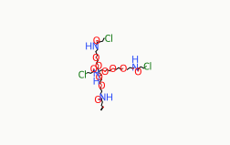 C=CCCC(=O)NCCCOCCOC[C@@](COCCOCCCNC1OC1CCCl)(COCCOCCCOCCCNC(=O)CCCl)NC(=O)CCCl